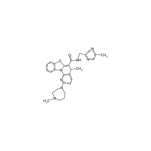 Cc1cnc(CNC(=O)C2=C3Sc4ccccc4N3c3nc(N4CCCN(C)CC4)ccc3C2C)cn1